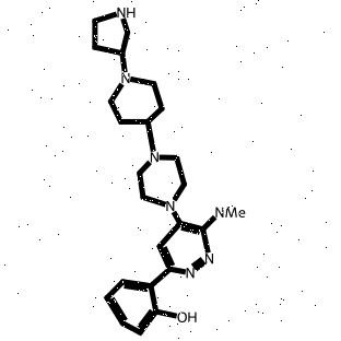 CNc1nnc(-c2ccccc2O)cc1N1CCN(C2CCN(C3CCNC3)CC2)CC1